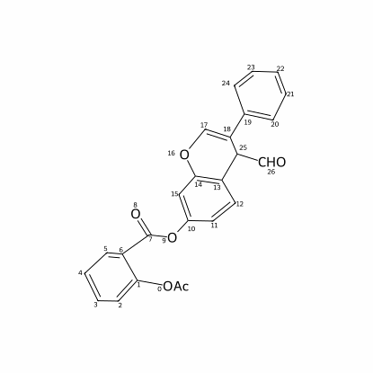 CC(=O)Oc1ccccc1C(=O)Oc1ccc2c(c1)OC=C(c1ccccc1)C2C=O